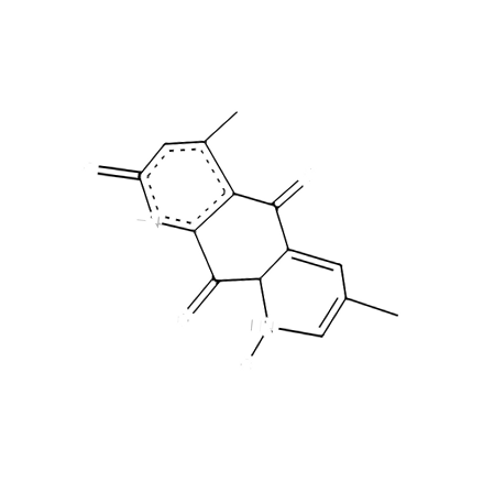 CC1=C[NH+]([O-])C2C(=O)c3[nH]c(=O)cc(C)c3C(=O)C2=C1